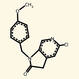 COc1ccc(CN2C(=O)Cc3cc(Cl)ncc32)cc1